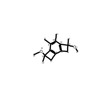 COC1(C)Cc2c3c(c(C)c(C)c21)C(C)(OC)C3